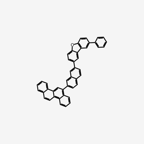 c1ccc(-c2ccc3oc4ccc(-c5ccc6ccc(-c7cc8c9ccccc9ccc8c8ccccc78)cc6c5)cc4c3c2)cc1